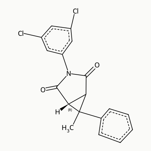 CC1(c2ccccc2)C2C(=O)N(c3cc(Cl)cc(Cl)c3)C(=O)[C@H]21